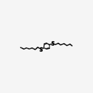 CCCCCCCSC1C=CC(SCCCCCCC)C=C1